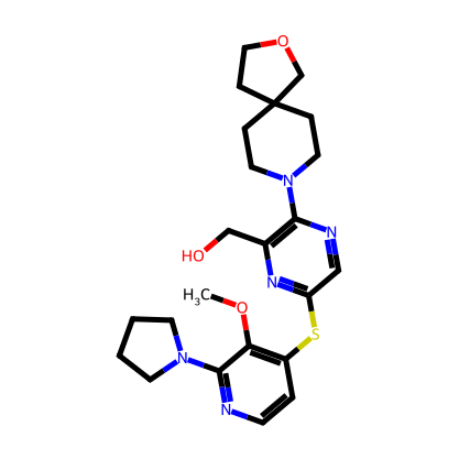 COc1c(Sc2cnc(N3CCC4(CCOC4)CC3)c(CO)n2)ccnc1N1CCCC1